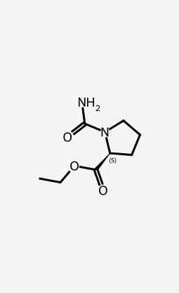 CCOC(=O)[C@@H]1CCCN1C(N)=O